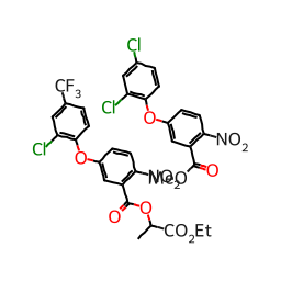 CCOC(=O)C(C)OC(=O)c1cc(Oc2ccc(C(F)(F)F)cc2Cl)ccc1[N+](=O)[O-].COC(=O)c1cc(Oc2ccc(Cl)cc2Cl)ccc1[N+](=O)[O-]